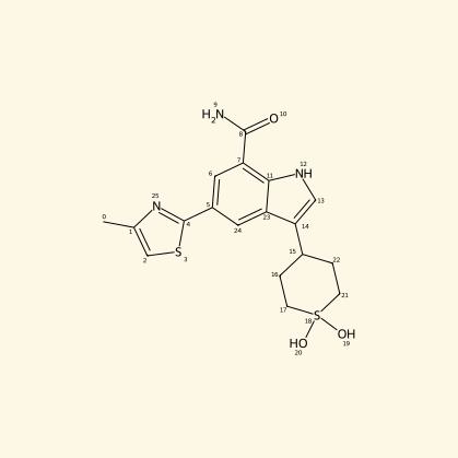 Cc1csc(-c2cc(C(N)=O)c3[nH]cc(C4CCS(O)(O)CC4)c3c2)n1